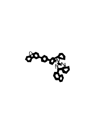 c1ccc2c(-c3nc(-n4c5ccccc5c5cc(-c6ccc(-c7ccc8oc9ccccc9c8c7)cc6)ccc54)nc4ccccc34)cccc2c1